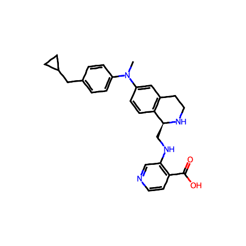 CN(c1ccc(CC2CC2)cc1)c1ccc2c(c1)CCN[C@H]2CNc1cnccc1C(=O)O